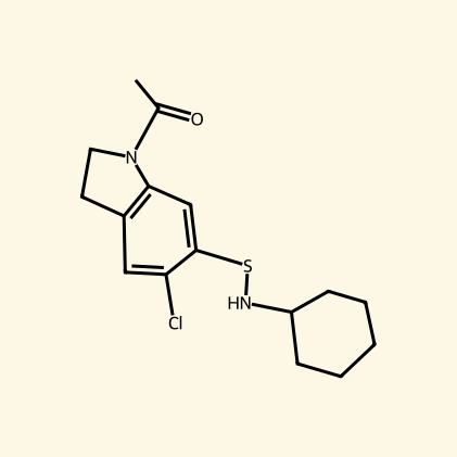 CC(=O)N1CCc2cc(Cl)c(SNC3CCCCC3)cc21